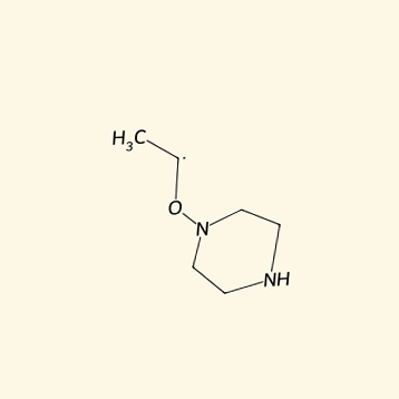 C[CH]ON1CCNCC1